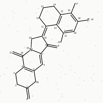 C=C1CCC2=C(C=C3C(=C)/C(=C4/CCCc5c(C)c(F)cc(C)c54)CN3C2=C)C1